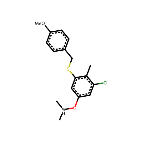 COc1ccc(CSc2cc(O[SiH](C)C)cc(Cl)c2C)cc1